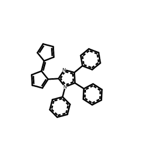 C1=CC(=C2C=CC=C2c2nc(-c3ccccc3)c(-c3ccccc3)n2-c2ccccc2)C=C1